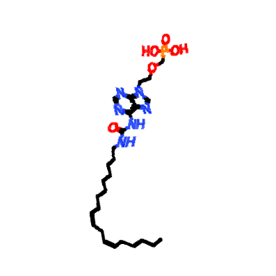 CCCCC/C=C\C/C=C\CCCCCCCCNC(=O)Nc1ncnc2c1ncn2CCOCP(=O)(O)O